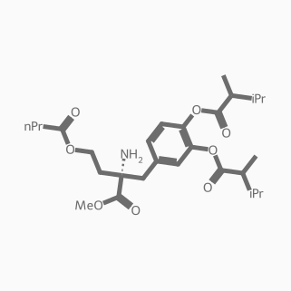 CCCC(=O)OCC[C@@](N)(Cc1ccc(OC(=O)C(C)C(C)C)c(OC(=O)C(C)C(C)C)c1)C(=O)OC